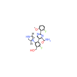 COc1cccc(F)c1-c1ncc(-c2cc(F)c(CO)cc2N2C[C@@H]3C[C@H]2CN3)c(C(N)=O)n1